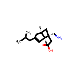 CC(C)CC1=C[C@H]2[C@@H](C1)C[C@@]2(CN)CC(=O)O